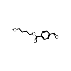 [O]CCCCOC(=O)c1ccc([C]=O)cc1